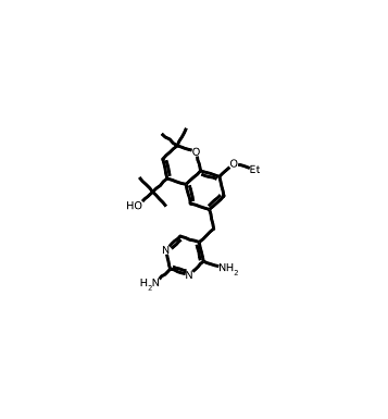 CCOc1cc(Cc2cnc(N)nc2N)cc2c1OC(C)(C)C=C2C(C)(C)O